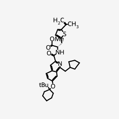 C=C(C)c1ccc(C[C@H](NC(=O)c2cc3ccc(OC4(C(C)(C)C)CCCCC4)cc3c(CC3CCCC3)n2)C(=O)OC)s1